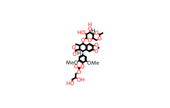 COc1cc([C@@H]2c3cc4c(cc3C(OC3OC5COC(C)O[C@@H]5C(O)C3O)C3COC(=O)[C@@H]32)OCO4)cc(OC)c1OC(=O)OCC(O)CO